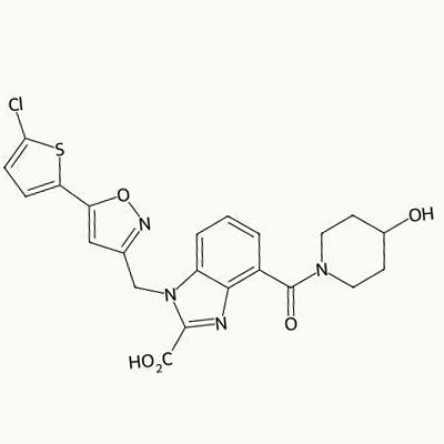 O=C(O)c1nc2c(C(=O)N3CCC(O)CC3)cccc2n1Cc1cc(-c2ccc(Cl)s2)on1